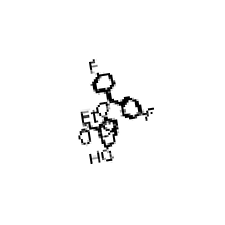 CCC(=O)C1C(OC(c2ccc(F)cc2)c2ccc(F)cc2)CC2CC(O)C1S2